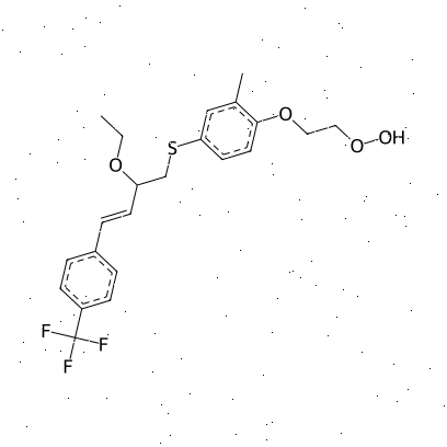 CCOC(/C=C/c1ccc(C(F)(F)F)cc1)CSc1ccc(OCCOO)c(C)c1